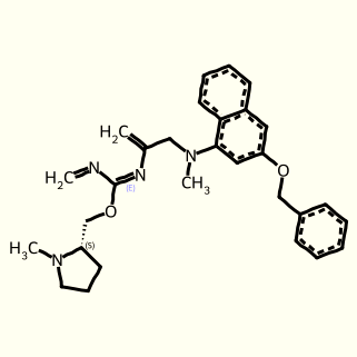 C=N/C(=N\C(=C)CN(C)c1cc(OCc2ccccc2)cc2ccccc12)OC[C@@H]1CCCN1C